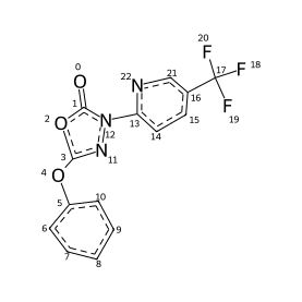 O=c1oc(Oc2ccccc2)nn1-c1ccc(C(F)(F)F)cn1